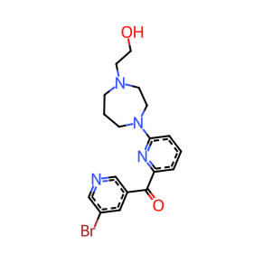 O=C(c1cncc(Br)c1)c1cccc(N2CCCN(CCO)CC2)n1